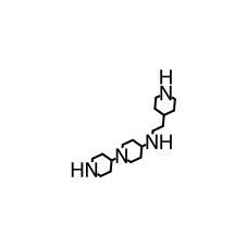 C1CC(CCNC2CCN(C3CCNCC3)CC2)CCN1